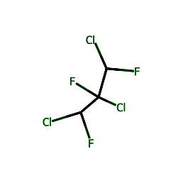 FC(Cl)C(F)(Cl)C(F)Cl